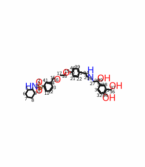 O=S(=O)(NC1CCCCC1)c1cccc(COCCOc2ccc(CCNC[C@H](O)c3ccc(O)c(CO)c3)cc2)c1